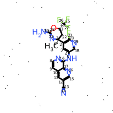 C[C@@]1(c2cc(Nc3nccc4cc(C#N)cnc34)cnc2F)C[C@@H](C(F)(F)F)OC(N)=N1